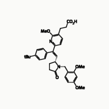 COc1ccc(CN2C(=O)CC[C@@H]2/C=C(\c2ccc(C(C)(C)C)cc2)c2ccc(CCC(=O)O)c(OC)n2)c(OC)c1